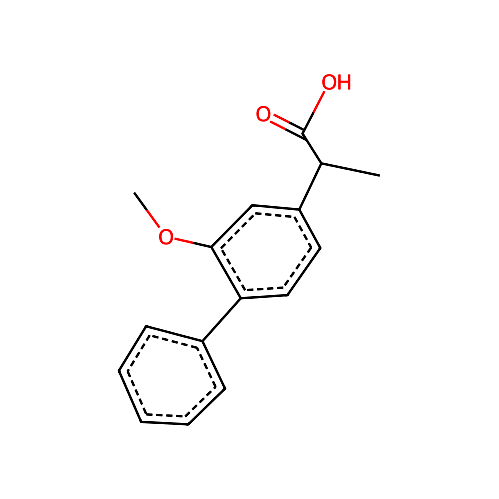 COc1cc(C(C)C(=O)O)ccc1-c1ccccc1